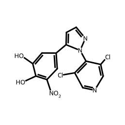 O=[N+]([O-])c1cc(-c2ccnn2-c2c(Cl)cncc2Cl)cc(O)c1O